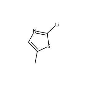 [Li][c]1ncc(C)s1